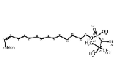 CCCCCCCCC/C=C\CCCCCCCCCCCCOP(=O)(O)C(CC)[N+](C)(C)C